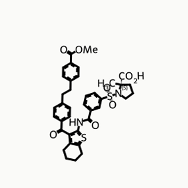 COC(=O)c1ccc(CCc2ccc(C(=O)c3c(NC(=O)c4cccc(S(=O)(=O)N5CCC[C@@]5(C)C(=O)O)c4)sc4c3CCCC4)cc2)cc1